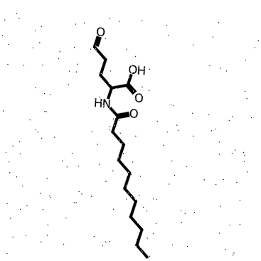 CCCCCCCCCCC(=O)NC(CCC=O)C(=O)O